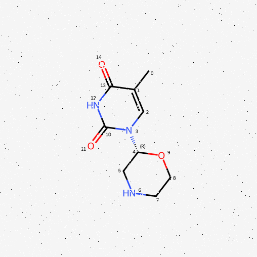 Cc1cn([C@H]2CNC[CH]O2)c(=O)[nH]c1=O